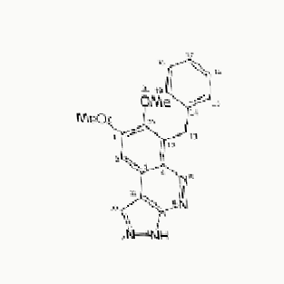 COc1cc2c(nnc3[nH]ncc32)c(Cc2ccccc2)c1OC